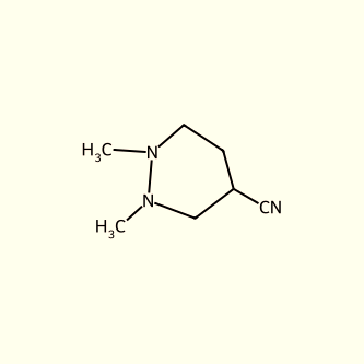 CN1CCC(C#N)CN1C